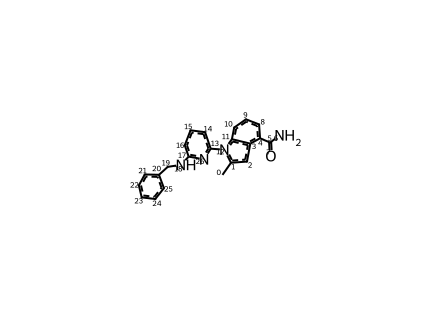 Cc1cc2c(C(N)=O)cccc2n1-c1cccc(NCc2ccccc2)n1